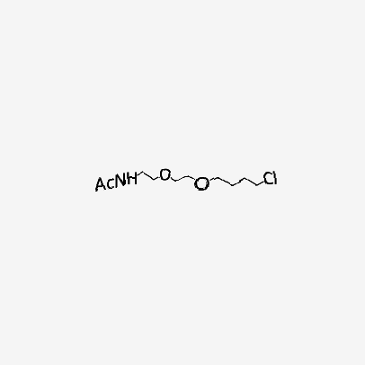 CC(=O)NCCOCCOCCCCCl